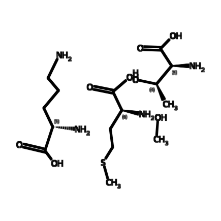 CO.CSCC[C@H](N)C(=O)O.C[C@@H](O)[C@H](N)C(=O)O.NCCC[C@H](N)C(=O)O